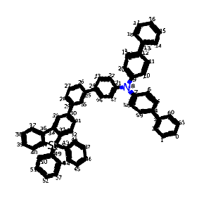 c1ccc(-c2ccc(N(c3ccc(-c4ccccc4)cc3)c3ccc(-c4cccc(-c5ccc6c(c5)-c5ccccc5[Si]6(c5ccccc5)c5ccccc5)c4)cc3)cc2)cc1